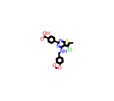 Cc1sc2nc(-c3ccc(C(=O)O)cc3)nc(NCc3ccc4c(c3)OCO4)c2c1Cl